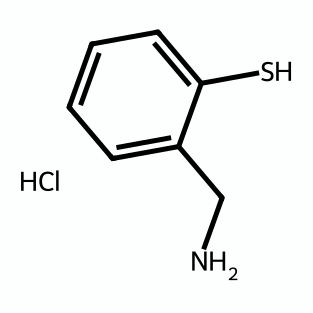 Cl.NCc1ccccc1S